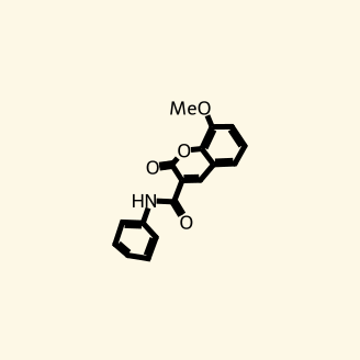 COc1cccc2cc(C(=O)Nc3ccccc3)c(=O)oc12